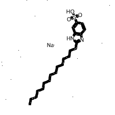 CCCCCCCCCCCCCCCc1nc2ccc(S(=O)(=O)O)cc2[nH]1.[Na]